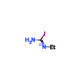 CC/N=C(/N)I